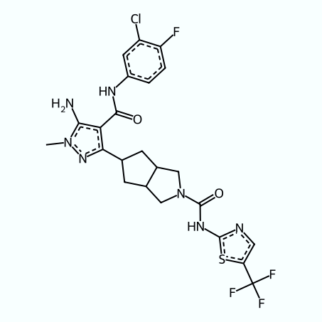 Cn1nc(C2CC3CN(C(=O)Nc4ncc(C(F)(F)F)s4)CC3C2)c(C(=O)Nc2ccc(F)c(Cl)c2)c1N